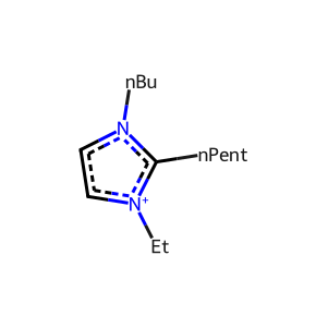 CCCCCc1n(CCCC)cc[n+]1CC